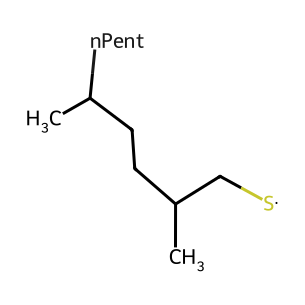 CCCCCC(C)CCC(C)C[S]